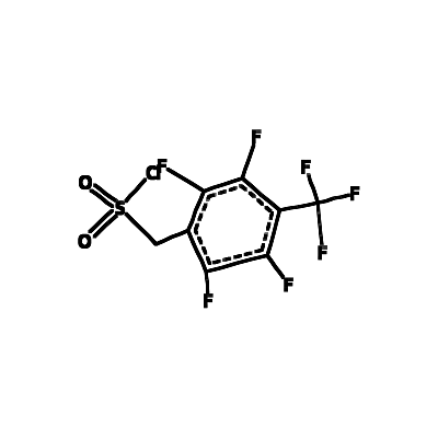 O=S(=O)(Cl)Cc1c(F)c(F)c(C(F)(F)F)c(F)c1F